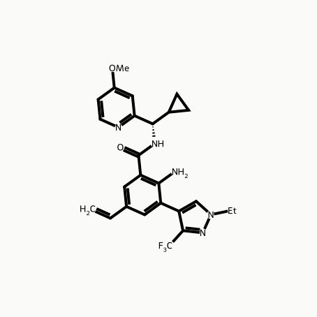 C=Cc1cc(C(=O)N[C@H](c2cc(OC)ccn2)C2CC2)c(N)c(-c2cn(CC)nc2C(F)(F)F)c1